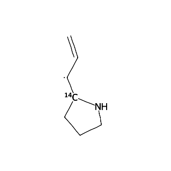 C=C[CH][14CH]1CCCN1